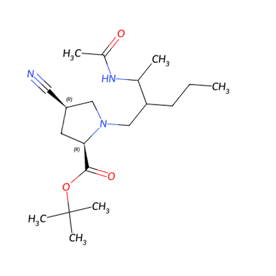 CCCC(CN1C[C@H](C#N)C[C@@H]1C(=O)OC(C)(C)C)C(C)NC(C)=O